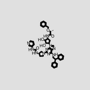 C[C@@H](OCc1ccccc1)C(=O)NC1CC(n2cnc3c(NCC(c4ccccc4)c4ccccc4)nc(N4CC[C@@H](NC(=O)Nc5cccnc5)C4)nc32)C(O)C1O